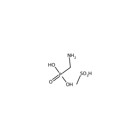 CS(=O)(=O)O.NCP(=O)(O)O